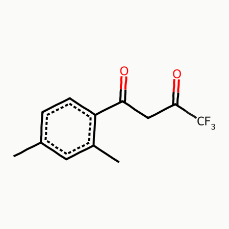 Cc1ccc(C(=O)CC(=O)C(F)(F)F)c(C)c1